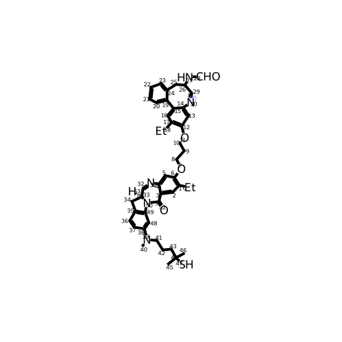 CCc1cc2c(cc1OCCCOc1cc3c(cc1CC)-c1ccccc1CC(NC=O)/C=N\3)N=C[C@@H]1Cc3ccc(N(C)CCCC(C)(C)S)cc3N1C2=O